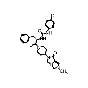 CN1C=C2C(=O)N(C3CCN(C(=O)[C@@H](Cc4ccccc4)NC(=O)Nc4ccc(Cl)cc4)CC3)CN2C1